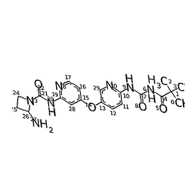 CC(C)(C)C(=O)NC(=O)Nc1ccc(Oc2ccnc(NC(=O)N3CCC3N)c2)cn1